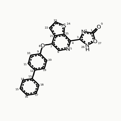 O=c1nc(-c2ncc(Oc3ccc(-c4ccccc4)cc3)c3ccsc23)[nH]o1